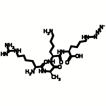 C[C@H](NC(=O)[C@@H](N)CCCCNC(=N)N)C(=O)N[C@@H](CCCCN)C(=O)N[C@@H](CCCCNN=[N+]=[N-])C(=O)O